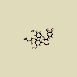 C=CCN1CCC2(c3cccc(OC(C)=O)c3)CC(N(CC(C)C)C(=O)Cc3ccc(Cl)c(Cl)c3)CC(O)C2C1